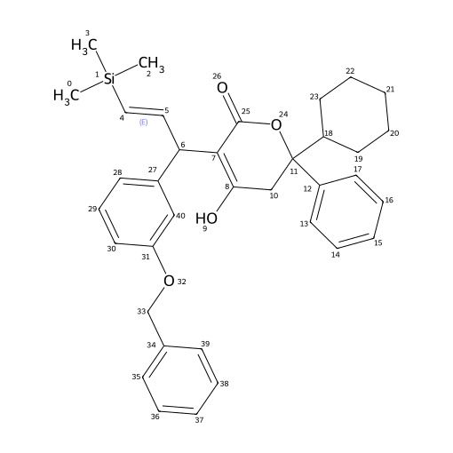 C[Si](C)(C)/C=C/C(C1=C(O)CC(c2ccccc2)(C2CCCCC2)OC1=O)c1cccc(OCc2ccccc2)c1